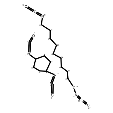 O=C=NC1CCC(N=C=O)CC1.O=C=NCCCCCCCCCCN=C=O